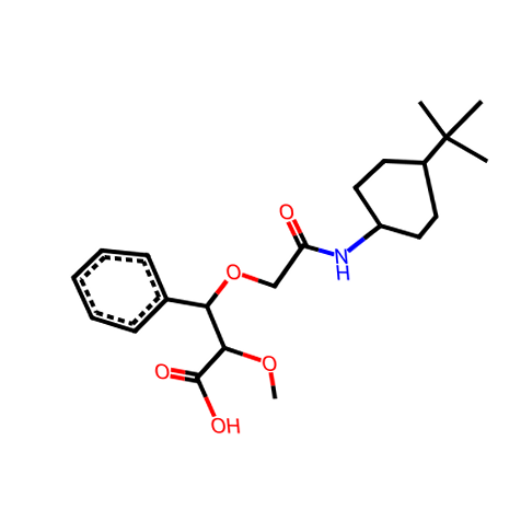 COC(C(=O)O)C(OCC(=O)NC1CCC(C(C)(C)C)CC1)c1ccccc1